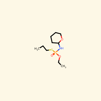 CCCSP(=O)(NC1CCCCO1)OCC